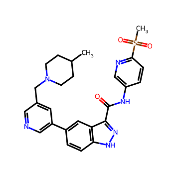 CC1CCN(Cc2cncc(-c3ccc4[nH]nc(C(=O)Nc5ccc(S(C)(=O)=O)nc5)c4c3)c2)CC1